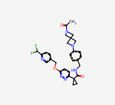 CC(=O)N1CC2(C1)CN(c1ccc(CNC(=O)C3(c4ccc(OCc5ccc(C(F)F)nc5)nn4)CC3)cc1)C2